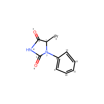 CC(C)C1C(=O)NC(=O)N1c1ccccc1